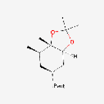 CCC[C@@H](C)[C@H]1C[C@@H](C)[C@]2(C)OC(C)(C)O[C@H]2C1